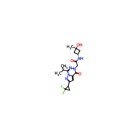 CC(C)c1nn(CC(=O)N[C@H]2C[C@@](C)(O)C2)c(=O)c2cc(C3CC3(F)F)nn12